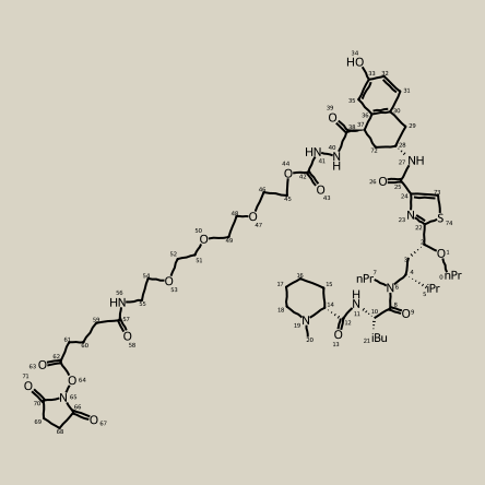 CCCO[C@H](C[C@H](C(C)C)N(CCC)C(=O)[C@@H](NC(=O)[C@H]1CCCCN1C)[C@@H](C)CC)c1nc(C(=O)N[C@H]2Cc3ccc(O)cc3[C@H](C(=O)NNC(=O)OCCOCCOCCOCCNC(=O)CCCC(=O)ON3C(=O)CCC3=O)C2)cs1